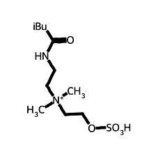 CCC(C)C(=O)NCC[N+](C)(C)CCOS(=O)(=O)O